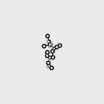 c1ccc(-c2cc3nc(-n4c5ccc(-c6cccc7c6c6c8ccccc8ccc6n7-c6ccc7oc8ccccc8c7c6)cc5c5cc6ccccc6cc54)nc(-c4ccccc4)c3s2)cc1